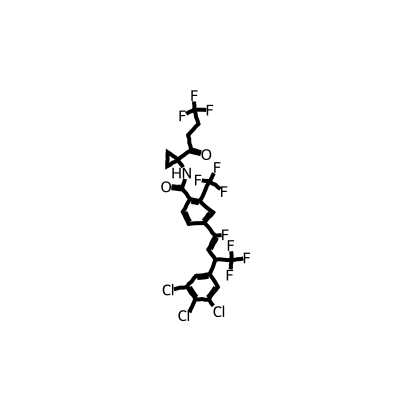 O=C(NC1(C(=O)CCC(F)(F)F)CC1)c1ccc(C(F)=CC(c2cc(Cl)c(Cl)c(Cl)c2)C(F)(F)F)cc1C(F)(F)F